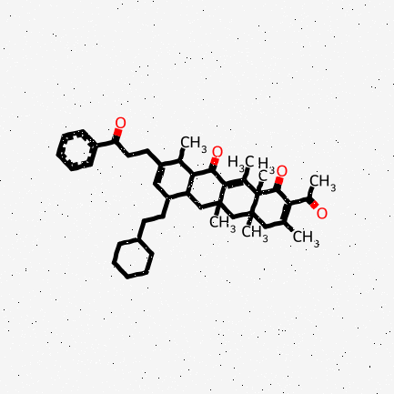 CC(=O)C1=C(C)CC2(C)CC3(C)CC4C(CCC5CCCCC5)C=C(CCC(=O)c5ccccc5)C(C)C4C(=O)C3=C(C)C2(C)C1=O